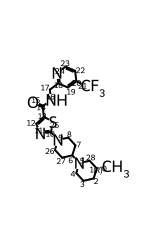 C[C@@H]1CCCN(C2CCN(c3ncc(C(=O)NCc4cc(C(F)(F)F)ccn4)s3)CC2)C1